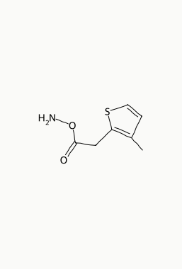 Cc1ccsc1CC(=O)ON